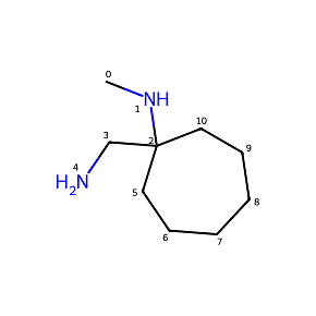 CNC1(CN)CCCCCC1